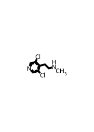 CNCCc1c(Cl)cncc1Cl